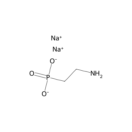 NCCP(=O)([O-])[O-].[Na+].[Na+]